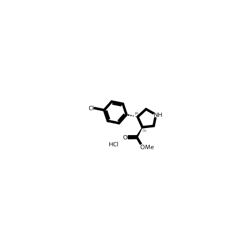 COC(=O)[C@@H]1CNC[C@H]1c1ccc(Cl)cc1.Cl